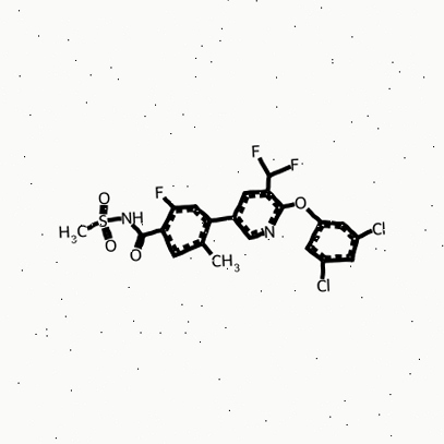 Cc1cc(C(=O)NS(C)(=O)=O)c(F)cc1-c1cnc(Oc2cc(Cl)cc(Cl)c2)c(C(F)F)c1